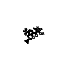 Cc1nn(C)c(O)c1C(=O)c1ccc(S(C)(=O)=O)c(CN(C)C2CC2)c1Cl